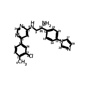 Cc1ccc(-c2cc(NC[C@H](N)c3ccc(-n4ccnc4)cc3)ncn2)cc1Cl